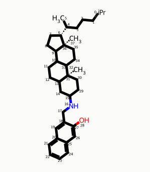 CC(C)CCCC(C)[C@H]1CCC2C3CCC4CC(NCc5cc6ccccc6cc5O)CC[C@]4(C)C3CC[C@@]21C